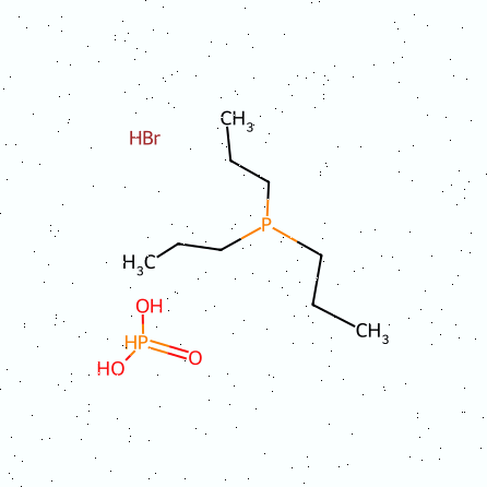 Br.CCCP(CCC)CCC.O=[PH](O)O